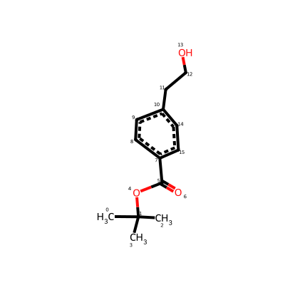 CC(C)(C)OC(=O)c1ccc(CCO)cc1